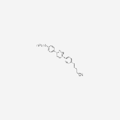 CCCCCc1ccc(-c2ccc(-c3ccc(CCCCC#N)cc3)nn2)cc1